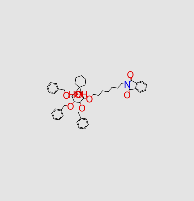 O=C1c2ccccc2C(=O)N1CCCCCCCOC1C(OCc2ccccc2)C(OCc2ccccc2)C(OCc2ccccc2)C2(O)C3(CCCCC3)C12O